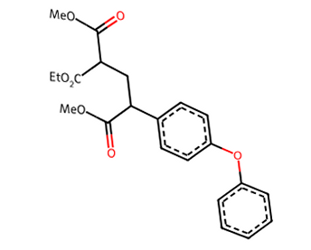 CCOC(=O)C(CC(C(=O)OC)c1ccc(Oc2ccccc2)cc1)C(=O)OC